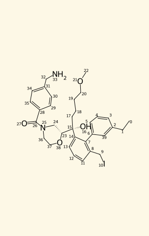 CCc1cccc(-c2c(CI)cccc2[C@](O)(CCCCOC)[C@H]2CN(C(=O)c3ccc(CN)cc3)CCO2)c1